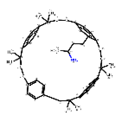 CC1(C)CCc2ccc(cc2)CC(C)(C)c2ccc(cc2)C(C)(C)CCc2ccc(cc2CCC(N)C(=O)O)CCC(C)(C)c2ccc1cc2